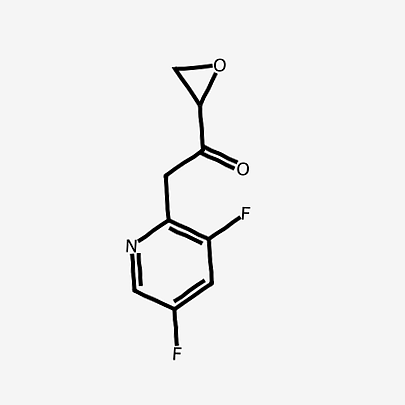 O=C(Cc1ncc(F)cc1F)C1CO1